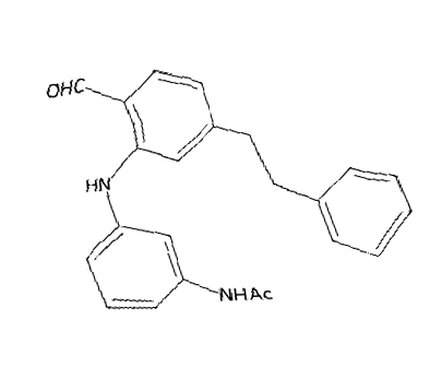 CC(=O)Nc1cccc(Nc2cc(CCc3ccccc3)ccc2C=O)c1